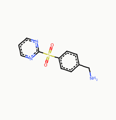 NCc1ccc(S(=O)(=O)c2ncccn2)cc1